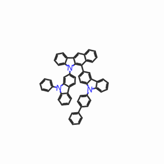 c1ccc(-c2ccc(-n3c4ccccc4c4cc(-c5c6ccccc6cc6c7ccccc7n(-c7ccc8c9ccccc9n(-c9ccccc9)c8c7)c56)ccc43)cc2)cc1